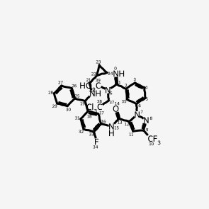 N=C(c1cccc(-n2nc(C(F)(F)F)cc2C(=O)Nc2cc(C(NCC3CC3)c3ccccc3)ccc2F)c1)N(CC(Cl)(Cl)Cl)C(=O)O